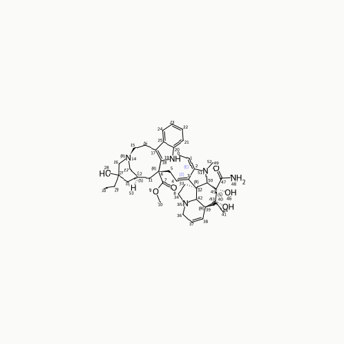 C/C=C1\C(=C/C[C@@]2(C(=O)OC)C[C@@H]3C[N@](CCc4c2[nH]c2ccccc42)CC(O)(CC)C3)[C@]23CCN4CC=C[C@](CC)(C42)[C@@H](O)[C@](O)(C(N)=O)C3N1C